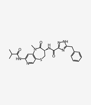 CC(C)C(=O)Nc1cc2c(cn1)SC[C@H](NC(=O)c1n[nH]c(Cc3ccccc3)n1)C(=O)N2C